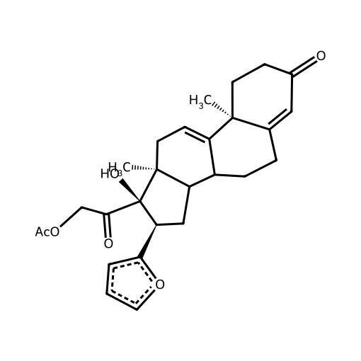 CC(=O)OCC(=O)[C@@]1(O)[C@H](c2ccco2)CC2C3CCC4=CC(=O)CC[C@]4(C)C3=CC[C@@]21C